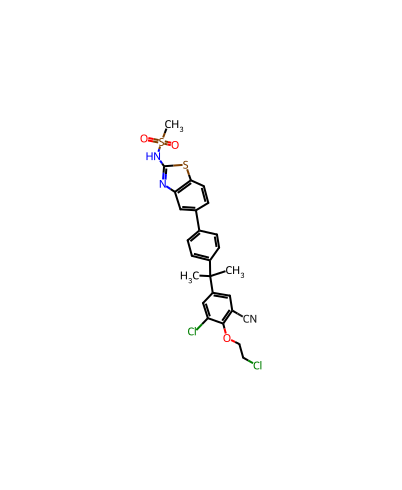 CC(C)(c1ccc(-c2ccc3sc(NS(C)(=O)=O)nc3c2)cc1)c1cc(Cl)c(OCCCl)c(C#N)c1